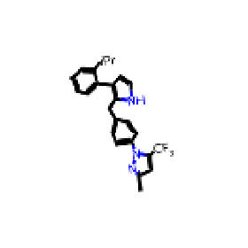 Cc1cc(C(F)(F)F)n(-c2ccc(Cc3[nH]ccc3-c3ccccc3C(C)C)cc2)n1